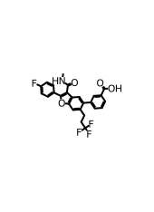 CNC(=O)c1c(-c2ccc(F)cc2)oc2cc(CCC(F)(F)F)c(-c3cccc(C(=O)O)c3)cc12